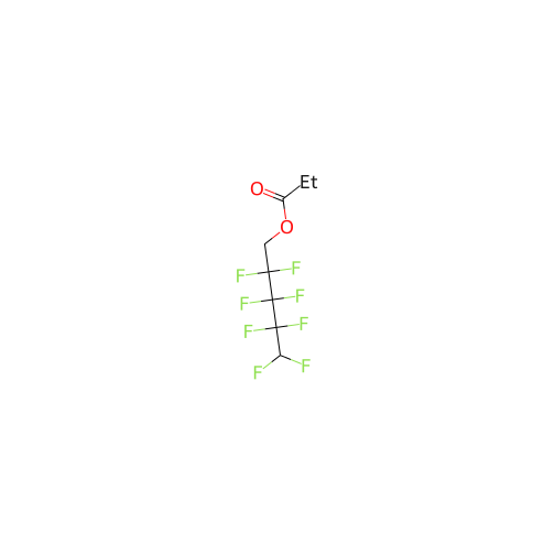 CCC(=O)OCC(F)(F)C(F)(F)C(F)(F)C(F)F